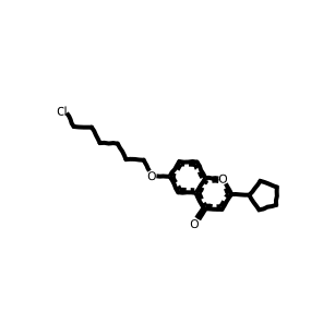 O=c1cc(C2CCCC2)oc2ccc(OCCCCCCCl)cc12